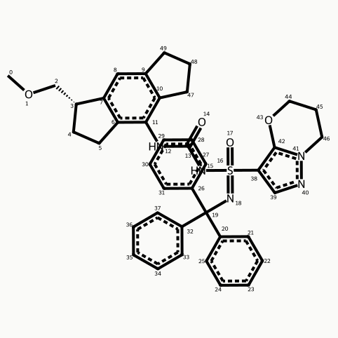 COC[C@H]1CCc2c1cc1c(c2NC(=O)NS(=O)(=NC(c2ccccc2)(c2ccccc2)c2ccccc2)c2cnn3c2OCCC3)CCC1